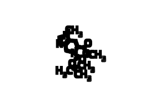 COC(=O)C1Cc2c(ncn2C)CN1C(=O)OC(C)(C)C